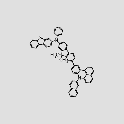 CC1(C)c2cc(-c3ccc4c(c3)-c3cccc5cccc(c35)N4c3ccc4ccccc4c3)ccc2-c2ccc(N(c3ccccc3)c3ccc4c(c3)sc3ccccc34)cc21